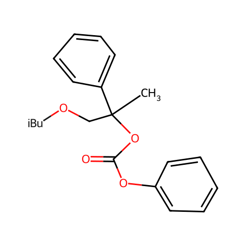 CCC(C)OCC(C)(OC(=O)Oc1ccccc1)c1ccccc1